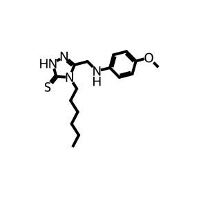 CCCCCCn1c(CNc2ccc(OC)cc2)n[nH]c1=S